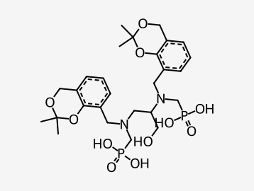 CC1(C)OCc2cccc(CN(CC(CO)N(Cc3cccc4c3OC(C)(C)OC4)CP(=O)(O)O)CP(=O)(O)O)c2O1